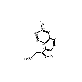 CCOC(=O)Cc1coc2ccc3cc(C#N)ccc3c12